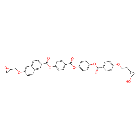 O=C(Oc1ccc(OC(=O)c2ccc(OC(=O)c3ccc4cc(OCC5CO5)ccc4c3)cc2)cc1)c1ccc(OCCC2CC2O)cc1